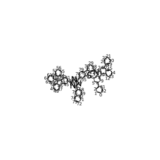 c1ccc(-c2ccc3c(c2)c2c4ccccc4c(-c4ccccc4)cc2n3-c2cccc3c2sc2cc(-c4nc(-c5ccc6c(c5)-c5ccccc5C6(c5ccccc5)c5ccccc5)nc(-c5ccc6ccccc6c5)n4)ccc23)cc1